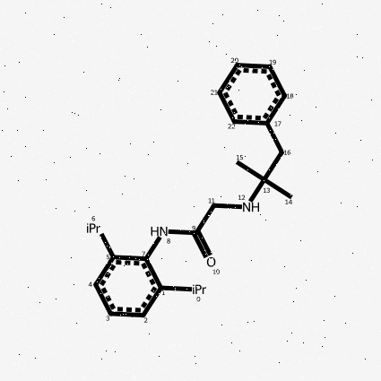 CC(C)c1cccc(C(C)C)c1NC(=O)CNC(C)(C)Cc1ccccc1